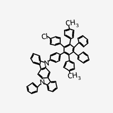 Cc1ccc(-c2c(-c3ccccc3)c(-c3ccccc3)c(-c3ccc(C)cc3)c(-c3ccc(-n4c5ccccc5c5cc6c(cc54)c4ccccc4n6-c4ccccc4)cc3)c2-c2ccc(Cl)cc2)cc1